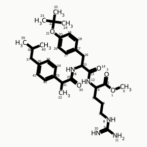 COC(=O)C(CCCNC(=N)N)NC(=O)C(Cc1ccc(OC(C)(C)C)cc1)NC(=O)C(C)c1ccc(CC(C)C)cc1